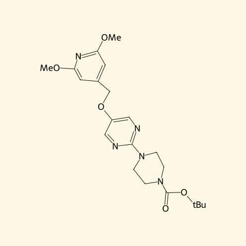 COc1cc(COc2cnc(N3CCN(C(=O)OC(C)(C)C)CC3)nc2)cc(OC)n1